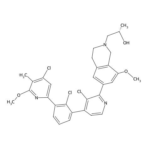 [CH2]c1c(Cl)cc(-c2cccc(-c3ccnc(-c4cc5c(c(OC)c4)CN(C[C@H](C)O)CC5)c3Cl)c2Cl)nc1OC